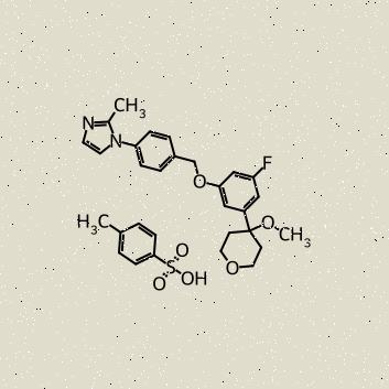 COC1(c2cc(F)cc(OCc3ccc(-n4ccnc4C)cc3)c2)CCOCC1.Cc1ccc(S(=O)(=O)O)cc1